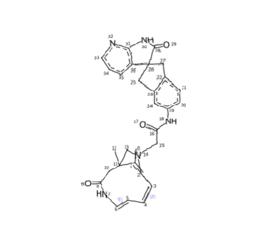 CC1=C2/C=C\C=C\NC(=O)CC1(C)CN2CC(=O)Nc1ccc2c(c1)CC1(C2)C(=O)Nc2ncccc21